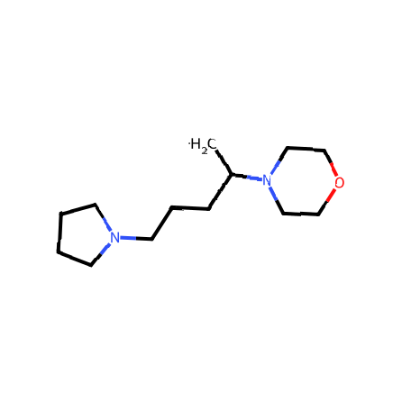 [CH2]C(CCCN1CCCC1)N1CCOCC1